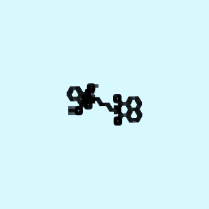 O=C(O)c1ccccc1[S+]([O-])NCCCCN1C(=O)c2cccc3cccc(c23)C1=O